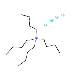 CCCC[N+](CCCC)(CCCC)CCCC.F.F.F.F